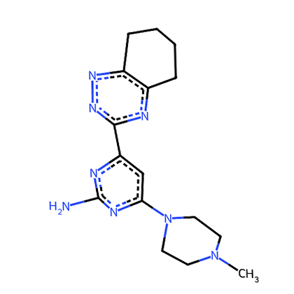 CN1CCN(c2cc(-c3nnc4c(n3)CCCC4)nc(N)n2)CC1